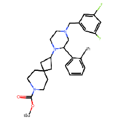 CC(C)c1ccccc1C1CN(Cc2cc(F)cc(F)c2)CCN1C1CC2(CCN(C(=O)OC(C)(C)C)CC2)C1